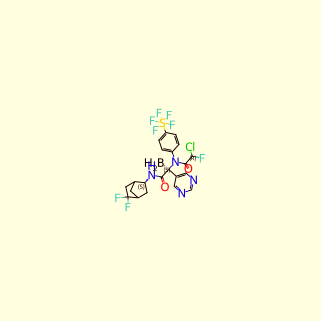 B[C@@](C(=O)N[C@H]1CC2CC1CC2(F)F)(c1cncnc1)N(C(=O)[C@H](F)Cl)c1ccc(S(F)(F)(F)(F)F)cc1